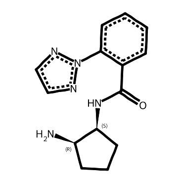 N[C@@H]1CCC[C@@H]1NC(=O)c1ccccc1-n1nccn1